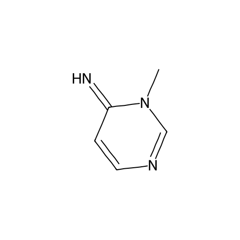 Cn1cnccc1=N